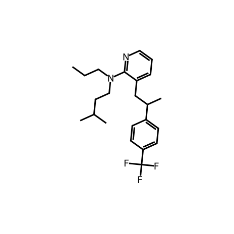 CCCN(CCC(C)C)c1ncccc1CC(C)c1ccc(C(F)(F)F)cc1